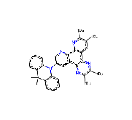 CC(C)(C)c1cc2c(nc1C(C)(C)C)c1ncc(N3c4ccccc4C(C)(C)c4ccccc43)cc1c1nc(C(C)(C)C)c(C(C)(C)C)nc21